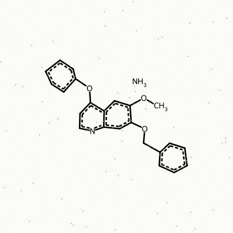 COc1cc2c(Oc3ccccc3)ccnc2cc1OCc1ccccc1.N